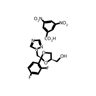 O=C(O)c1cc([N+](=O)[O-])cc([N+](=O)[O-])c1.OC[C@@H]1CO[C@@](Cn2cncn2)(c2ccc(F)cc2F)O1